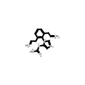 C=CCc1cccc(CC=C)c1-n1cncc1OC(=O)O